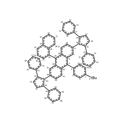 CC(C)(C)c1ccc(-c2c3cc(-n4c(-c5ccccc5)ccc4-c4ccccc4)ccc3c(-c3cccc4ccccc34)c3cc(-n4c(-c5ccccc5)ccc4-c4ccccc4)ccc23)cc1